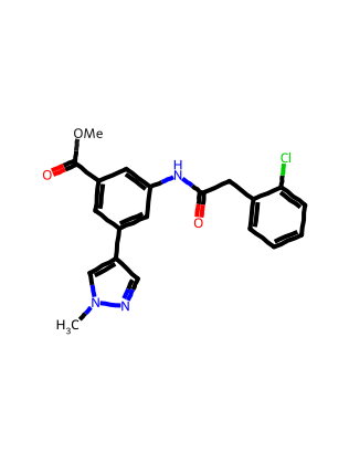 COC(=O)c1cc(NC(=O)Cc2ccccc2Cl)cc(-c2cnn(C)c2)c1